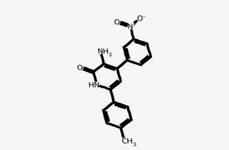 Cc1ccc(-c2cc(-c3cccc([N+](=O)[O-])c3)c(N)c(=O)[nH]2)cc1